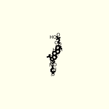 COc1ccc(-c2nnc(C[C@]34CCC(C(C)C)=C3[C@H]3CC[C@@H]5[C@@]6(C)CC[C@H](OC(=O)CC(C)(C)C(=O)O)C(C)(C)[C@@H]6CC[C@@]5(C)[C@]3(C)CC4)o2)nc1